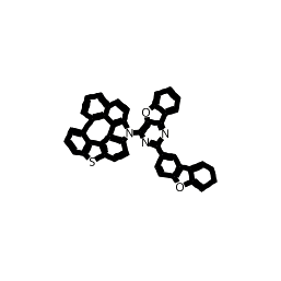 C1=c2oc3ccc(-c4nc(-n5c6ccc7cccc8c7c6c6c7c(ccc65)sc5cccc-8c57)c5oc6ccccc6c5n4)cc3c2=CCC1